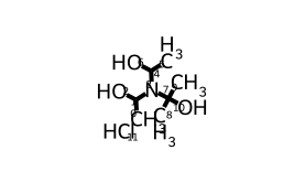 CC(O)N(C(C)O)C(C)(C)O.Cl